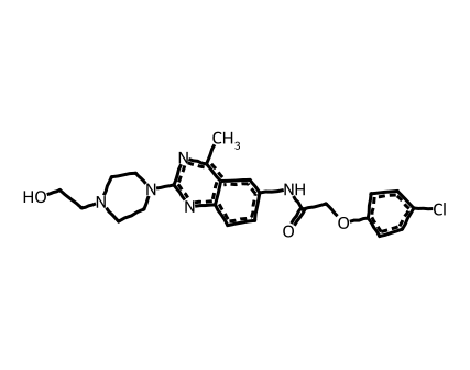 Cc1nc(N2CCN(CCO)CC2)nc2ccc(NC(=O)COc3ccc(Cl)cc3)cc12